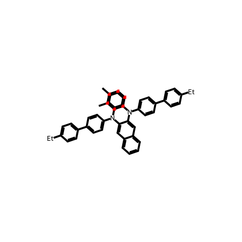 CCc1ccc(-c2ccc(N(c3cccc(C)c3)c3cc4ccccc4cc3N(c3ccc(-c4ccc(CC)cc4)cc3)c3cccc(C)c3)cc2)cc1